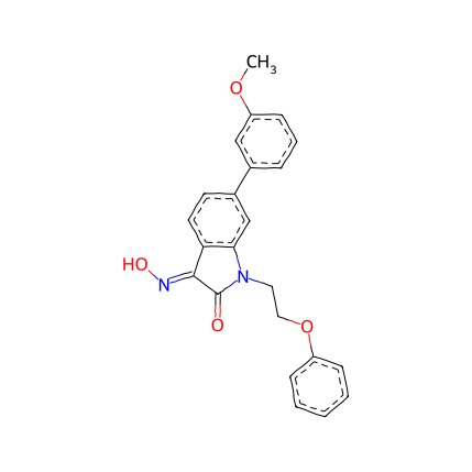 COc1cccc(-c2ccc3c(c2)N(CCOc2ccccc2)C(=O)/C3=N/O)c1